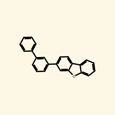 c1ccc(-c2cccc(-c3ccc4c(c3)oc3ccccc34)c2)cc1